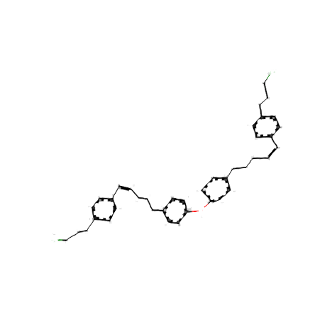 BrCCCc1ccc(/C=C\CCCc2ccc(Oc3ccc(CCC/C=C\c4ccc(CCCBr)cc4)cc3)cc2)cc1